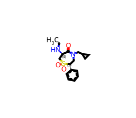 CCN[C@@H]1CS(=O)(=O)[C@@H](c2ccccc2)CN(CC2CC2)C1=O